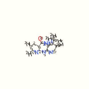 [2H]c1cc2c(nc1[2H])N(C)c1ncc([2H])c(C([2H])([2H])[2H])c1NC2=O